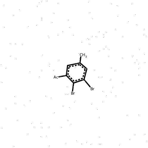 CC(=O)c1cc(C)cc(Br)c1Br